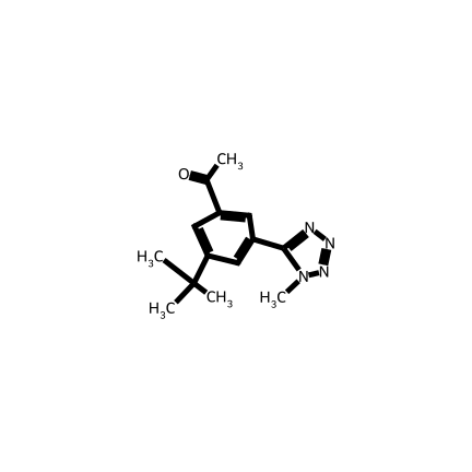 CC(=O)c1cc(-c2nnnn2C)cc(C(C)(C)C)c1